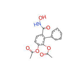 CC(=O)Oc1ccc(C(=O)NO)c(-c2ccccc2)c1OC(C)=O